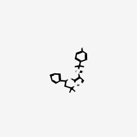 CC1(C)CC(c2ccccc2)Nc2c(S(=O)(=O)C(C)(C)c3ccc(Cl)cc3)cnn21